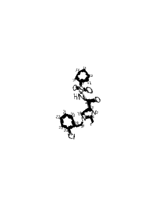 Cc1nc(C(=O)NS(=O)(=O)c2ccccc2)cn1Cc1ccccc1Cl